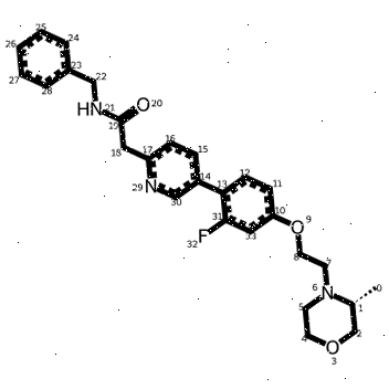 C[C@@H]1COCCN1CCOc1ccc(-c2ccc(CC(=O)NCc3ccccc3)nc2)c(F)c1